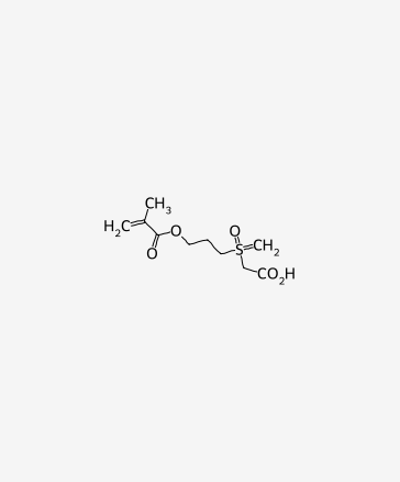 C=C(C)C(=O)OCCCS(=C)(=O)CC(=O)O